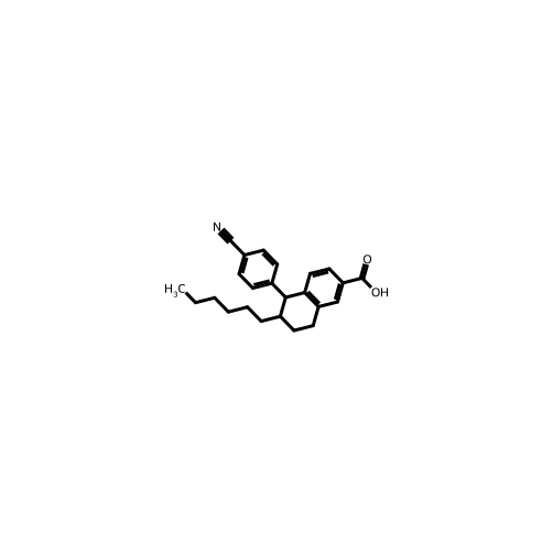 CCCCCCC1CCc2cc(C(=O)O)ccc2C1c1ccc(C#N)cc1